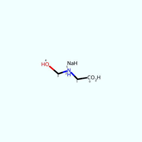 O=C(O)CNCO.[NaH]